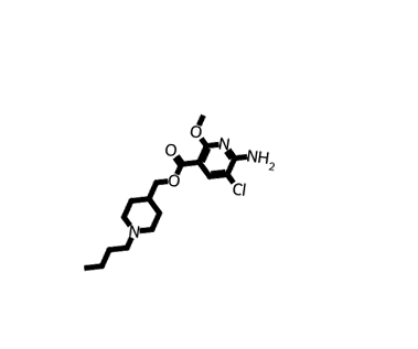 CCCCN1CCC(COC(=O)c2cc(Cl)c(N)nc2OC)CC1